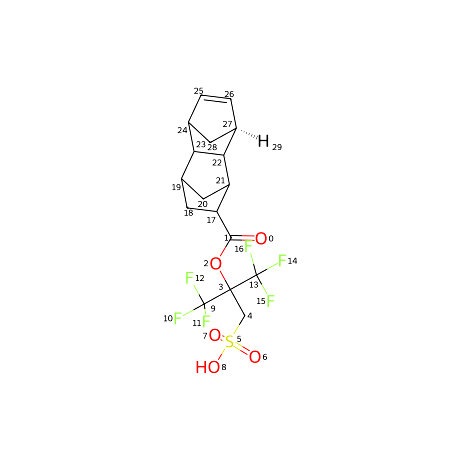 O=C(OC(CS(=O)(=O)O)(C(F)(F)F)C(F)(F)F)C1CC2CC1C1C2C2C=C[C@@H]1C2